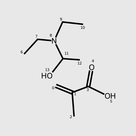 C=C(C)C(=O)O.CCN(CC)C(C)O